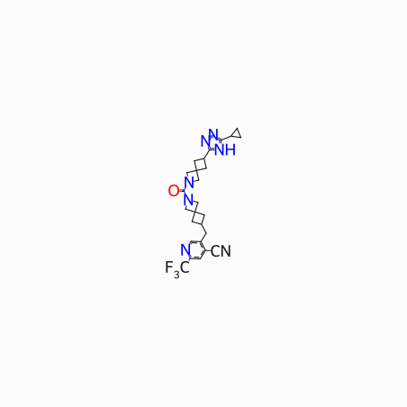 N#Cc1cc(C(F)(F)F)ncc1CC1CC2(C1)CN(C(=O)N1CC3(CC(c4nnc(C5CC5)[nH]4)C3)C1)C2